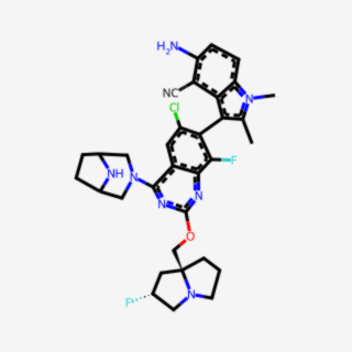 Cc1c(-c2c(Cl)cc3c(N4CC5CCC(C4)N5)nc(OC[C@@]45CCCN4C[C@H](F)C5)nc3c2F)c2c(C#N)c(N)ccc2n1C